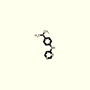 CI(C)c1ccc(Nc2ccncn2)cc1